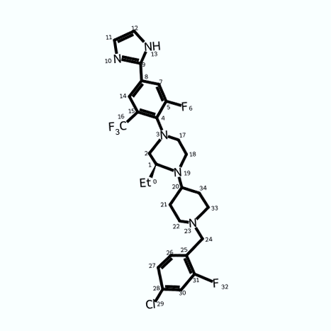 CC[C@H]1CN(c2c(F)cc(-c3ncc[nH]3)cc2C(F)(F)F)CCN1C1CCN(Cc2ccc(Cl)cc2F)CC1